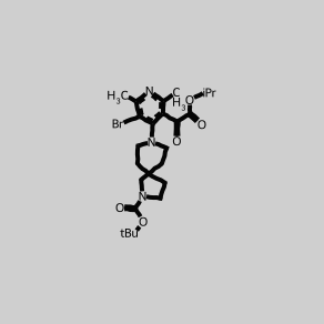 Cc1nc(C)c(C(=O)C(=O)OC(C)C)c(N2CCC3(CCN(C(=O)OC(C)(C)C)C3)CC2)c1Br